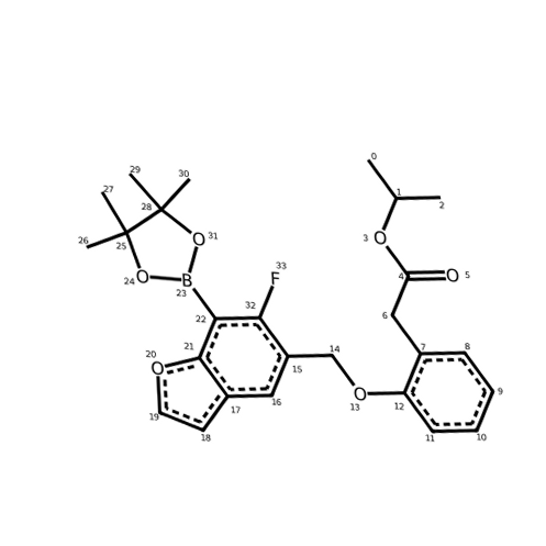 CC(C)OC(=O)Cc1ccccc1OCc1cc2ccoc2c(B2OC(C)(C)C(C)(C)O2)c1F